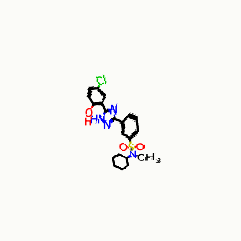 CN(C1CCCCC1)S(=O)(=O)c1cccc(-c2n[nH]c(-c3cc(Cl)ccc3O)n2)c1